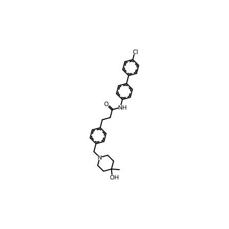 CC1(O)CCN(Cc2ccc(CCC(=O)Nc3ccc(-c4ccc(Cl)cc4)cc3)cc2)CC1